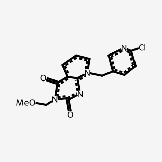 COCn1c(=O)nc2n(Cc3ccc(Cl)nc3)cccc-2c1=O